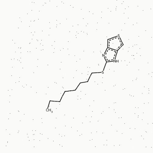 CCCCCCCCSc1nc2cscc2[nH]1